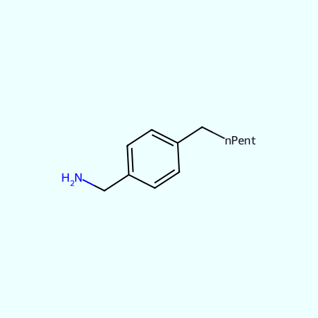 CCCCCCc1ccc(CN)cc1